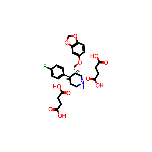 Fc1ccc([C@@H]2CCNC[C@H]2COc2ccc3c(c2)OCO3)cc1.O=C(O)CCC(=O)O.O=C(O)CCC(=O)O